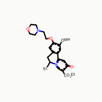 CCOC(=O)c1cn2c(cc1=O)-c1cc(OC)c(OCCN3CCOCC3)cc1CC2CC